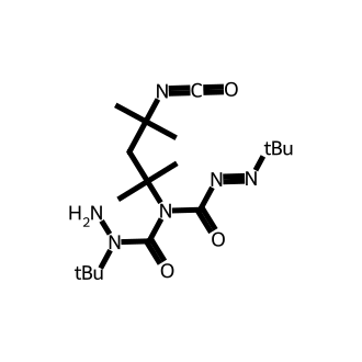 CC(C)(C)N=NC(=O)N(C(=O)N(N)C(C)(C)C)C(C)(C)CC(C)(C)N=C=O